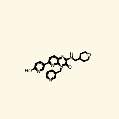 O=c1c(NCC2CCOCC2)nc2ccc(-c3ccc(O)nc3)nc2n1Cc1cccnc1